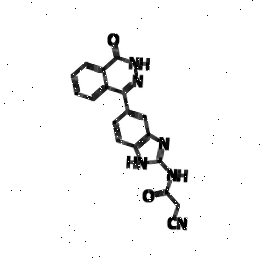 N#CCC(=O)Nc1nc2cc(-c3n[nH]c(=O)c4ccccc34)ccc2[nH]1